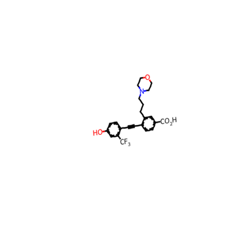 O=C(O)c1ccc(C#Cc2ccc(O)cc2C(F)(F)F)c(CCCN2CCOCC2)c1